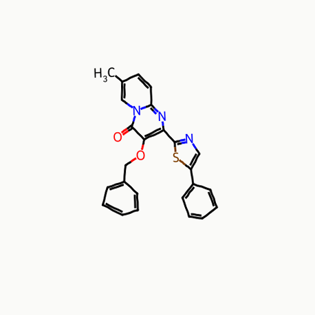 Cc1ccc2nc(-c3ncc(-c4ccccc4)s3)c(OCc3ccccc3)c(=O)n2c1